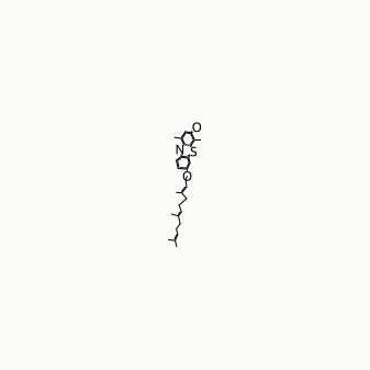 CC(C)=CCC/C(C)=C/CC/C(C)=C/COc1ccc2nc3c(C)cc(=O)c(C)c-3sc2c1